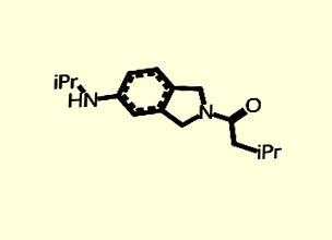 CC(C)CC(=O)N1Cc2ccc(NC(C)C)cc2C1